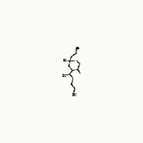 CCC(CCCS)C1CC(CC)(CCC(C)C)CCC1C